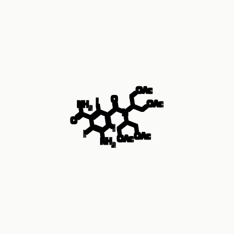 CC(=O)OCC(COC(C)=O)N(C(=O)c1c(I)c(N)c(I)c(C(N)=O)c1I)C(COC(C)=O)COC(C)=O